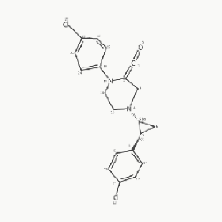 O=C=C1CN([C@@H]2C[C@H]2c2ccc(Cl)cc2)CCN1c1ccc(Cl)cc1